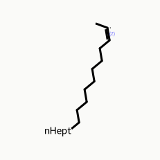 C/[C]=C\CCCCCCCCCCCCCCC